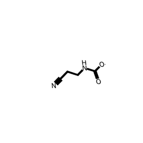 N#CCCNC([O])=O